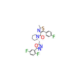 Cc1nc(C(=O)N2CCCC[C@H]2Cc2nnc(-c3cc(F)ccc3F)o2)c(-c2ccc(F)cc2)s1